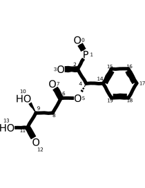 O=PC(=O)[C@@H](OC(=O)C[C@H](O)C(=O)O)c1ccccc1